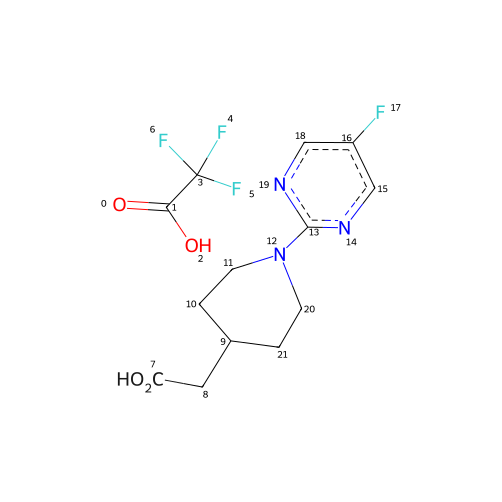 O=C(O)C(F)(F)F.O=C(O)CC1CCN(c2ncc(F)cn2)CC1